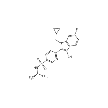 C[C@H](NS(=O)(=O)c1ccc(-c2c(C#N)c3ccc(F)cc3n2CC2CC2)nc1)C(F)(F)F